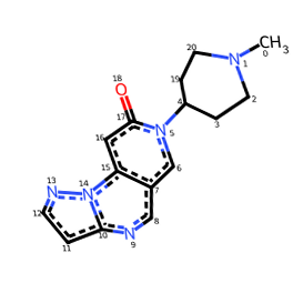 CN1CCC(n2cc3cnc4ccnn4c3cc2=O)CC1